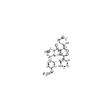 O=C(NN(C(=O)C1CNCC(c2ccc(OC(F)(F)F)cc2)C1)C(=O)N1CCOCC1)c1ccccc1